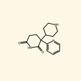 O=C1CCC(c2ccccn2)(C2CCNCC2)C(=O)N1